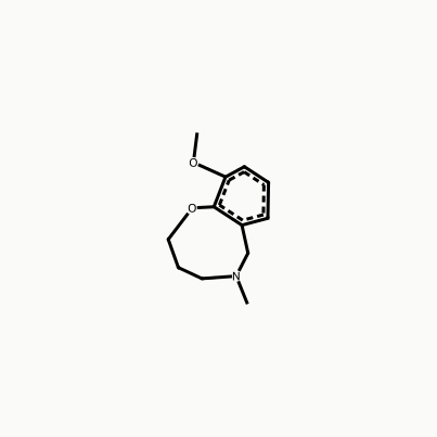 COc1cccc2c1OCCCN(C)C2